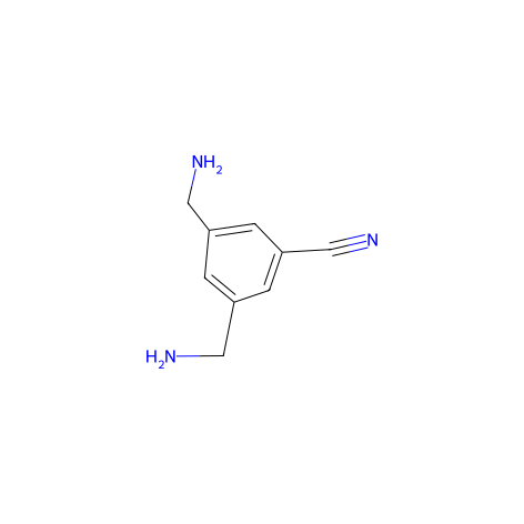 N#Cc1cc(CN)cc(CN)c1